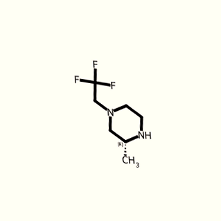 C[C@@H]1CN(CC(F)(F)F)CCN1